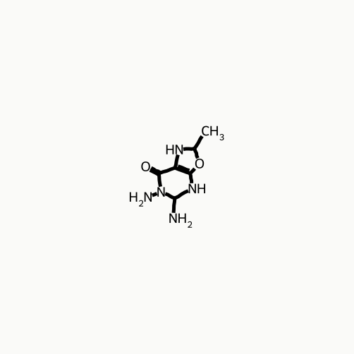 CC1NC2=C(NC(N)N(N)C2=O)O1